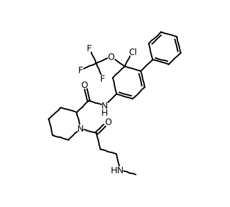 CNCCC(=O)N1CCCCC1C(=O)NC1=CC=C(c2ccccc2)C(Cl)(OC(F)(F)F)C1